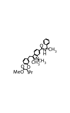 COC(=O)C(Oc1cccc(Cc2c(C)n(C)c3cc(C(=O)N[C@@H](C)c4ccccc4)ccc23)c1)C(C)C